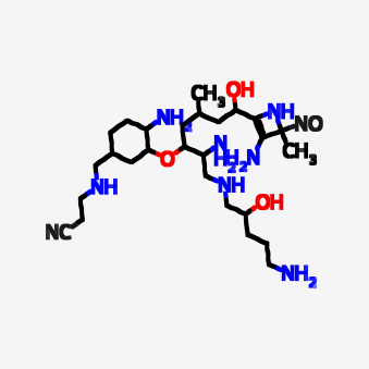 CC(CC(O)C1=C(N)C(C)(N=O)N1)CC(OC1CC(CNCCC#N)CCC1N)C(N)CNCC(O)CCCN